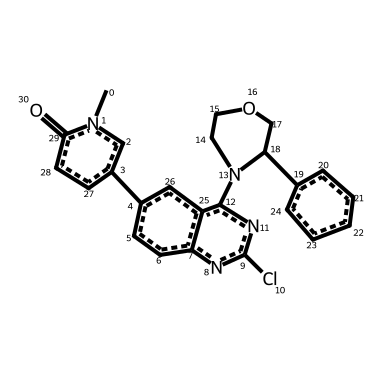 Cn1cc(-c2ccc3nc(Cl)nc(N4CCOCC4c4ccccc4)c3c2)ccc1=O